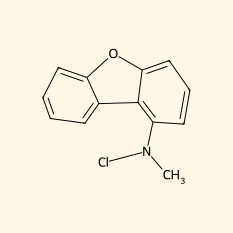 CN(Cl)c1cccc2oc3ccccc3c12